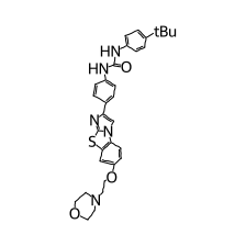 CC(C)(C)c1ccc(NC(=O)Nc2ccc(-c3cn4c(n3)sc3cc(OCCN5CCOCC5)ccc34)cc2)cc1